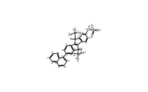 [2H]C([2H])([2H])C1(C)C2=C(c3ccc(OS(=O)(=O)C(F)(F)F)cc31)C(C)(C([2H])([2H])[2H])c1cc(-c3cccc4ccccc34)ccc12